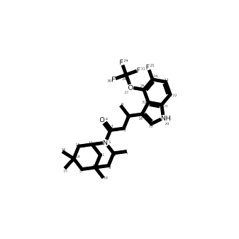 CC(CC(=O)N1C(C)CC2(C)CC1CC(C)(C)C2)c1c[nH]c2ccc(F)c(OC(F)(F)F)c12